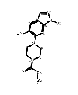 CC(=O)n1ncc2cc(C)c(N3CCN(C(=O)OC(C)(C)C)CC3)cc21